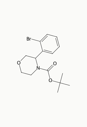 CC(C)(C)OC(=O)N1CCOCC1c1ccccc1Br